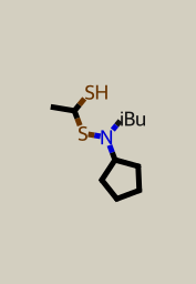 CCC(C)N(SC(C)S)C1CCCC1